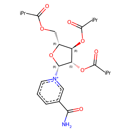 CC(C)C(=O)OC[C@H]1O[C@@H]([n+]2cccc(C(N)=O)c2)[C@@H](OC(=O)C(C)C)[C@@H]1OC(=O)C(C)C